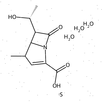 CC1C=C(C(=O)O)N2C(=O)C([C@@H](C)O)C12.O.O.O.[S]